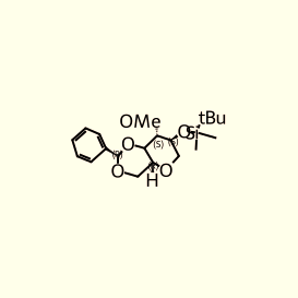 CO[C@H]1C2O[C@H](c3ccccc3)OC[C@H]2OC[C@@H]1O[Si](C)(C)C(C)(C)C